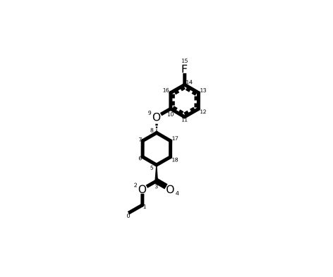 CCOC(=O)[C@H]1CC[C@H](Oc2cccc(F)c2)CC1